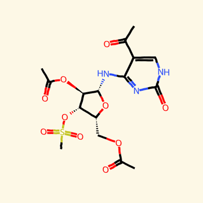 CC(=O)OC[C@H]1O[C@@H](Nc2nc(=O)[nH]cc2C(C)=O)[C@H](OC(C)=O)[C@H]1OS(C)(=O)=O